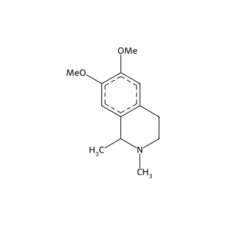 COc1cc2c(cc1OC)C(C)N(C)CC2